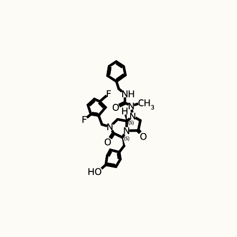 CN(C(=O)NCc1ccccc1)N1CC(=O)N2[C@@H](Cc3ccc(O)cc3)C(=O)N(Cc3cc(F)ccc3F)C[C@@H]21